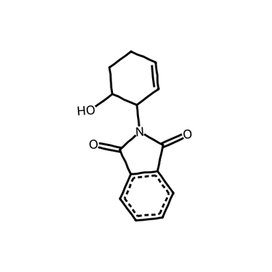 O=C1c2ccccc2C(=O)N1C1C=CCCC1O